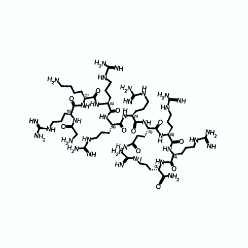 N=C(N)NCCC[C@H](NC(=O)[C@H](CCCNC(=N)N)NC(=O)[C@H](CCCNC(=N)N)NC(=O)[C@H](CCC(N)=O)NC(=O)[C@H](CCCNC(=N)N)NC(=O)[C@H](CCCNC(=N)N)NC(=O)[C@H](CCCNC(=N)N)NC(=O)[C@H](CCCCN)NC(=O)[C@H](CCCNC(=N)N)NC(=O)CN)C(N)=O